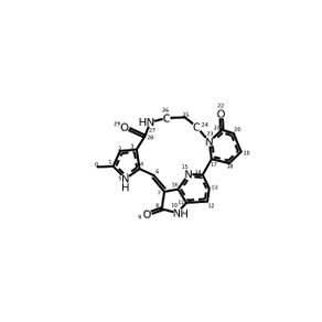 Cc1cc2c([nH]1)/C=C1\C(=O)Nc3ccc(nc31)-c1cccc(=O)n1CCCNC2=O